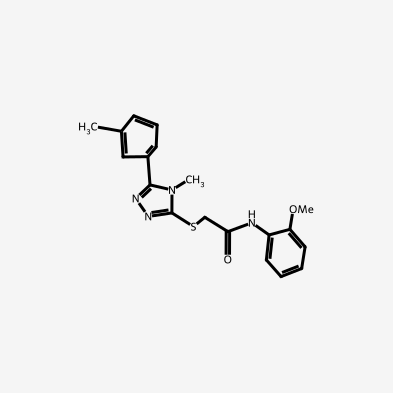 COc1ccccc1NC(=O)CSc1nnc(-c2cccc(C)c2)n1C